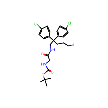 CC(C)(C)OC(=O)NCC(=O)NCC(CCCI)(c1ccc(Cl)cc1)c1ccc(Cl)cc1